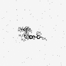 CCc1ccc(-c2cc3ccc(SC(C)(C)CC(C)(C)OC(=O)C(C)(CC(C)(C)C)C(C)(C)C)cc3o2)c(CC)n1